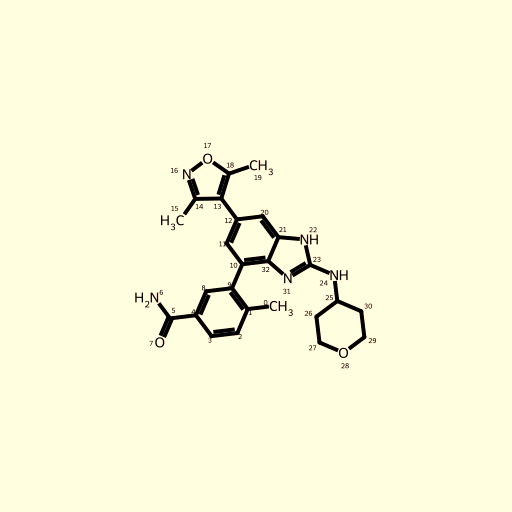 Cc1ccc(C(N)=O)cc1-c1cc(-c2c(C)noc2C)cc2[nH]c(NC3CCOCC3)nc12